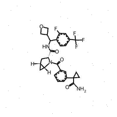 NC(=O)C1(c2cccc(C(=O)N3[C@@H](C(=O)NC(c4ccc(C(F)(F)F)cc4F)C4COC4)C[C@H]4C[C@H]43)c2)CC1